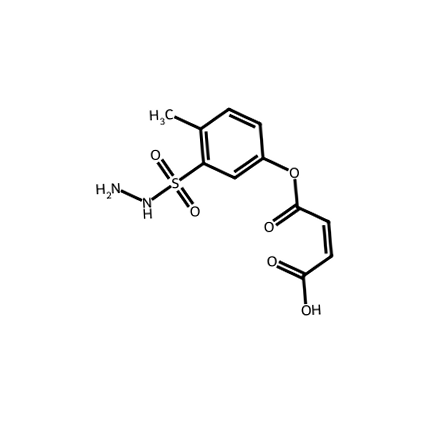 Cc1ccc(OC(=O)/C=C\C(=O)O)cc1S(=O)(=O)NN